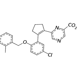 Cc1ccccc1COc1ccc(Cl)cc1C1=C(c2cncc(C(=O)O)n2)CCC1